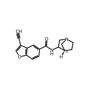 C#Cc1coc2ccc(C(=O)NC3CN4CC[C@H]3C4)cc12